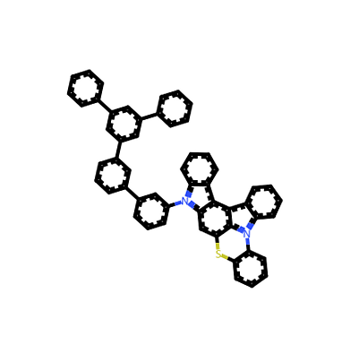 c1ccc(-c2cc(-c3ccccc3)cc(-c3cccc(-c4cccc(-n5c6ccccc6c6c7c8ccccc8n8c7c(cc65)Sc5ccccc5-8)c4)c3)c2)cc1